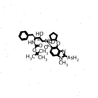 Cn1c([AsH2])nc2c(OC3CCCC3)c(S(=O)(=O)NC[C@@H](O)[C@H](Cc3ccccc3)NC(=O)OC(C)(C)C)ccc21